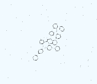 c1ccc(-c2ccc(N(c3ccc(-c4ccccc4)cc3)c3cccc4oc5c(-c6ccc7c(c6)C6(c8ccccc8-c8ccccc86)c6ccccc6-7)c6ccccc6cc5c34)cc2)cc1